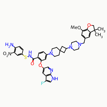 COc1cc(CN2CCN(C3CC4(CCN(c5ccc(C(=O)NSc6ccc(N)c([N+](=O)[O-])c6)c(Oc6cnc7[nH]cc(F)c7c6)c5)CC4)C3)CC2)cc2c1OCC2(C)C